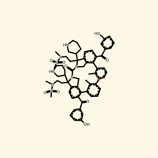 Cc1c(F)cccc1-c1c(C(=O)c2cccc(O)c2)ccc2c1CN(C(=O)N1Cc3c(ccc(C(=O)c4cccc(O)c4)c3-c3cccc(F)c3C)C1(CCN(C)S(C)(=O)=O)C1CCCNC1)C2(CCN(C)S(C)(=O)=O)C1CCCNC1